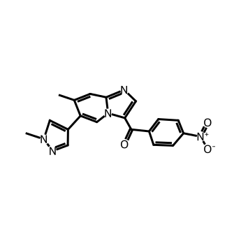 Cc1cc2ncc(C(=O)c3ccc([N+](=O)[O-])cc3)n2cc1-c1cnn(C)c1